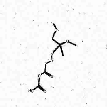 COCC(C)(OC)OOOC(=O)OC(=O)O